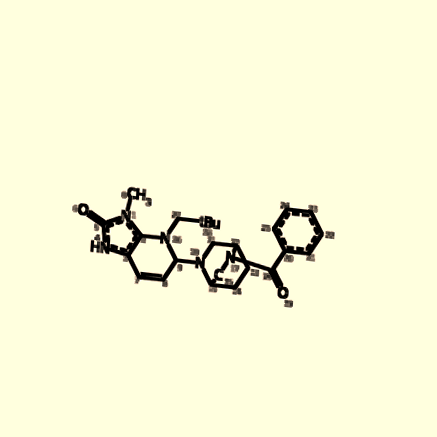 Cn1c2c([nH]c1=O)C=CC(N1CC3CCC1CN3C(=O)c1ccccc1)N2CC(C)(C)C